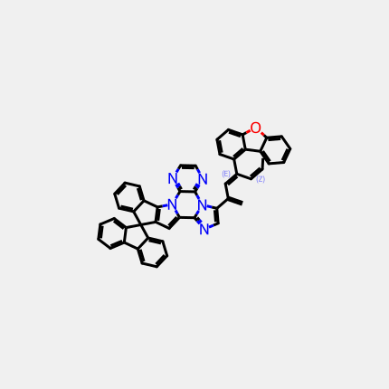 C=C(/C=C(\C=C/C)c1cccc2oc3ccccc3c12)c1cnc2c3cc4c(n3c3nccnc3n12)-c1ccccc1C41c2ccccc2-c2ccccc21